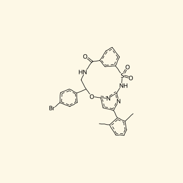 Cc1cccc(C)c1-c1cc2nc(n1)NS(=O)(=O)c1cccc(c1)C(=O)NCC(c1ccc(Br)cc1)O2